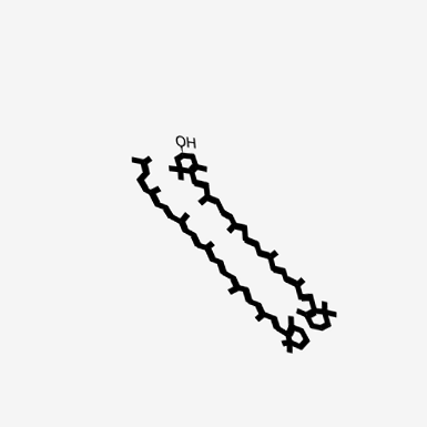 CC(C)=C\C=C/C(C)=C/C=C/C(C)=C/C=C/C(C)=C/C=C/C=C(C)/C=C/C=C(C)/C=C/C1=C(C)CCCC1(C)C.CC1=C(/C=C/C(C)=C/C=C/C(C)=C/C=C/C=C(C)/C=C/C=C(C)/C=C/C2=C(C)C[C@@H](O)CC2(C)C)C(C)(C)CCC1